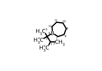 CC(C)C(C)(C)B1CCCCCC1